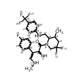 CN/C=C(\C(=N)C(=O)N1CC(F)(F)CC(C)C1CNc1ncc(C(F)(F)F)cn1)c1ccc(F)cn1